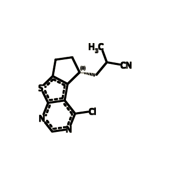 CC(C#N)C[C@H]1CCc2sc3ncnc(Cl)c3c21